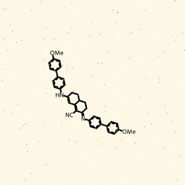 COc1ccc(-c2ccc(/N=C3\CCC4CCC(Nc5ccc(-c6ccc(OC)cc6)cc5)=CC4=C3C#N)cc2)cc1